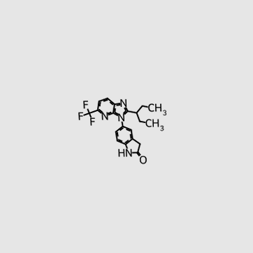 CCC(CC)c1nc2ccc(C(F)(F)F)nc2n1-c1ccc2c(c1)CC(=O)N2